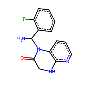 NC(c1ccccc1F)N1C(=O)CNc2ncccc21